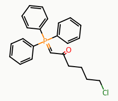 O=C(C=P(c1ccccc1)(c1ccccc1)c1ccccc1)CCCCCl